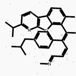 C/N=C/C=C\C(=C(/C)c1c(C)ccc2c1oc1nc(C(C)C)ccc12)c1ccc(CC(C)C)cc1